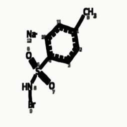 Cc1ccc(S(=O)(=O)NBr)cc1.[Na]